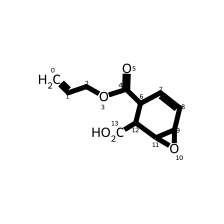 C=CCOC(=O)C1C=CC2OC2C1C(=O)O